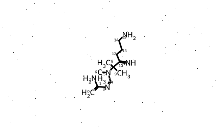 C=C(N)/N=C\N(C)C(C)(C)C(=N)CCCN